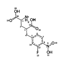 NC(CC(Cc1ccc([N+](=O)O)c(F)c1)C(=O)O)C(=O)O